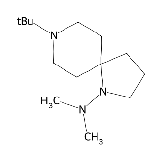 CN(C)N1CCCC12CCN(C(C)(C)C)CC2